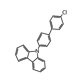 Clc1ccc(-c2ccc(-n3c4ccccc4c4ccccc43)cc2)cc1